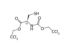 O=C(N[C@H](CS)C(=O)OCC(Cl)(Cl)Cl)OCC(Cl)(Cl)Cl